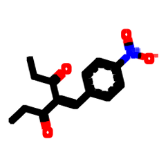 CCC(=O)C(=Cc1ccc([N+](=O)[O-])cc1)C(=O)CC